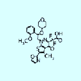 COc1ccccc1C(Cn1nc(C(F)(F)C(=O)O)c(=O)c2c(C)c(-c3ncco3)sc21)OC1CCOCC1